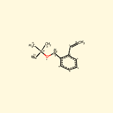 C=Cc1ccccc1[SiH2]O[Si](C)(C)C(C)(C)C